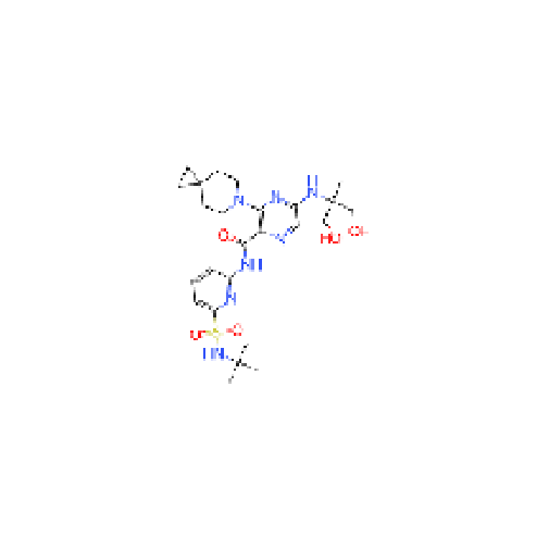 CC(C)(C)NS(=O)(=O)c1cccc(NC(=O)c2ncc(NC(C)(CO)CO)nc2N2CCC3(CC2)CC3)n1